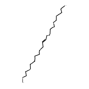 [CH2]CCCCCCCCC/C=C/CCCCCCCCCC[CH2]